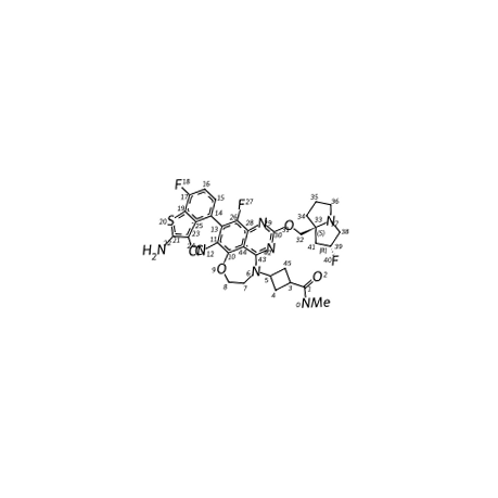 CNC(=O)C1CC(N2CCOc3c(Cl)c(-c4ccc(F)c5sc(N)c(C#N)c45)c(F)c4nc(OC[C@@]56CCCN5C[C@H](F)C6)nc2c34)C1